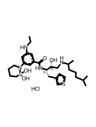 CCNc1cc(C(=O)N[C@@H](Cc2ccsc2)[C@H](O)CNC(C)CCCC(C)C)cc(N2CCCCS2(O)O)c1.Cl